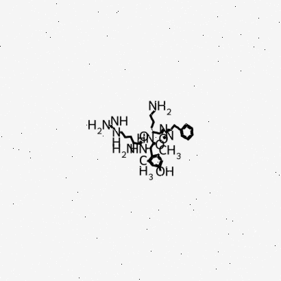 Cc1cc(O)cc(C)c1[C@@H](NC(=O)[C@H](N)CCCNC(=N)N)C(=O)N[C@H](CCCCN)c1nc(Cc2ccccc2)no1